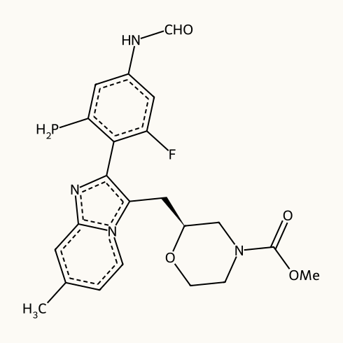 COC(=O)N1CCO[C@@H](Cc2c(-c3c(F)cc(NC=O)cc3P)nc3cc(C)ccn23)C1